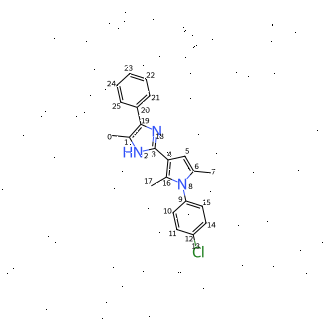 Cc1[nH]c(-c2cc(C)n(-c3ccc(Cl)cc3)c2C)nc1-c1ccccc1